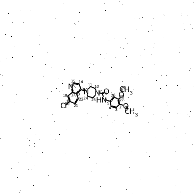 COc1ccc(NC(=O)N2CCN(c3ccnc4cc(Cl)ccc34)CC2)cc1OC